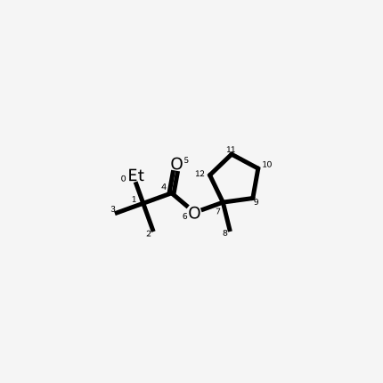 CCC(C)(C)C(=O)OC1(C)CCCC1